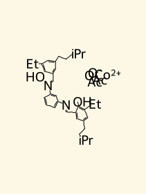 CC(=O)[O-].CC(=O)[O-].CCc1cc(CCC(C)C)cc(C=Nc2cccc(N=Cc3cc(CCC(C)C)cc(CC)c3O)c2)c1O.[Co+2]